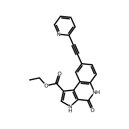 CCOC(=O)c1c[nH]c2c(=O)[nH]c3ccc(C#Cc4ccccn4)cc3c12